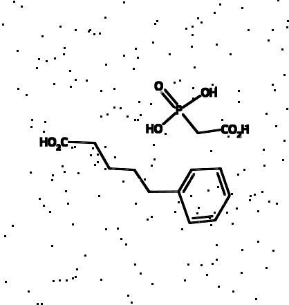 O=C(O)CCCCc1ccccc1.O=C(O)CP(=O)(O)O